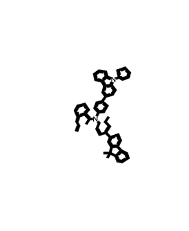 C=C/C=c1/cccc/c1=C(/C)N(C/C=C\C(=C/CC)c1ccc2c(c1)C(C)(C)c1ccccc1-2)c1ccc(-c2ccc3c(c2)c2ccccc2n3-c2ccccc2)cc1